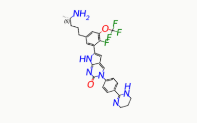 C[C@H](N)CCCc1cc(OC(F)(F)F)c(F)c(-c2cc3cn(-c4ccc(C5=NCCCN5)cc4)c(=O)nc3[nH]2)c1